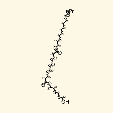 CCCOOCCSCSCSCCOC(=O)CCSCSCSCCC(=O)OCCSCSCO